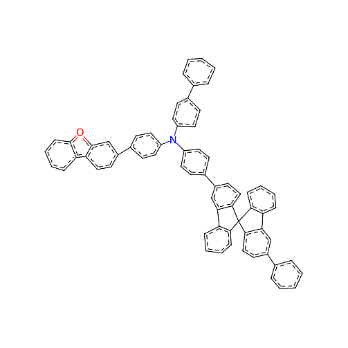 c1ccc(-c2ccc(N(c3ccc(-c4ccc5c(c4)-c4ccccc4C54c5ccccc5-c5cc(-c6ccccc6)ccc54)cc3)c3ccc(-c4ccc5c(c4)oc4ccccc45)cc3)cc2)cc1